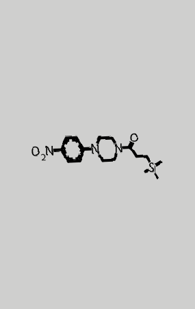 C[Si](C)(C)CCC(=O)N1CCN(c2ccc([N+](=O)[O-])cc2)CC1